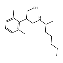 CCCCCC(C)NCC(CO)c1c(C)cccc1C